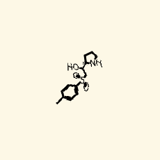 Cc1ccc(S(=O)(=O)CC(O)[C@H]2CCCN2)cc1